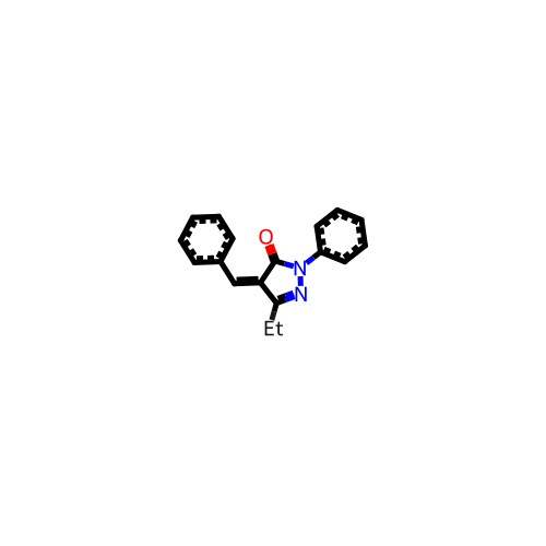 CCC1=NN(c2ccccc2)C(=O)C1=Cc1ccccc1